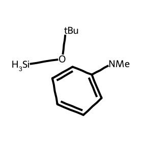 CC(C)(C)O[SiH3].CNc1ccccc1